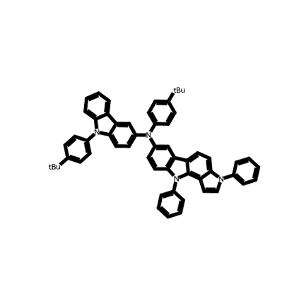 CC(C)(C)c1ccc(N(c2ccc3c(c2)c2ccccc2n3-c2ccc(C(C)(C)C)cc2)c2ccc3c(c2)c2ccc4c(ccn4-c4ccccc4)c2n3-c2ccccc2)cc1